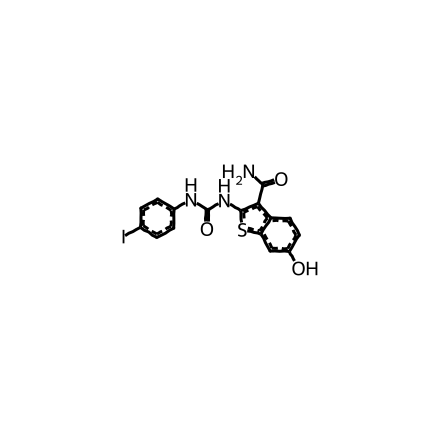 NC(=O)c1c(NC(=O)Nc2ccc(I)cc2)sc2cc(O)ccc12